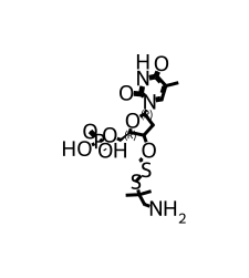 Cc1cn([C@H]2CC(OCSSC(C)(C)CN)[C@@H](COP(=O)(O)O)O2)c(=O)[nH]c1=O